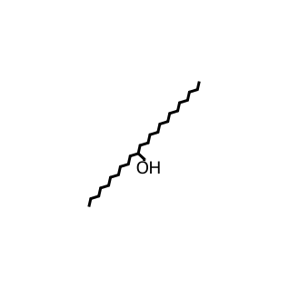 CCCCCCCCCCCCCC(CO)CCCCCCCCCC